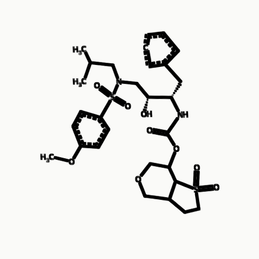 COc1ccc(S(=O)(=O)N(CC(C)C)C[C@@H](O)[C@H](Cc2ccccc2)NC(=O)OC2COCC3CCS(=O)(=O)C32)cc1